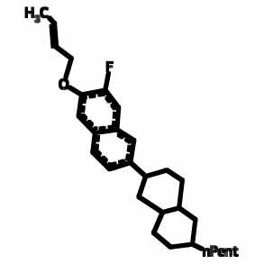 C/C=C/COc1cc2ccc(C3CCC4CC(CCCCC)CCC4C3)cc2cc1F